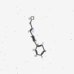 ClC/C=C/C#Cc1ccccc1